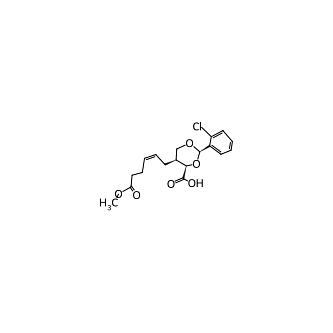 COC(=O)CC/C=C\C[C@H]1CO[C@@H](c2ccccc2Cl)O[C@H]1C(=O)O